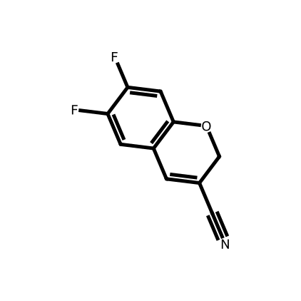 N#CC1=Cc2cc(F)c(F)cc2OC1